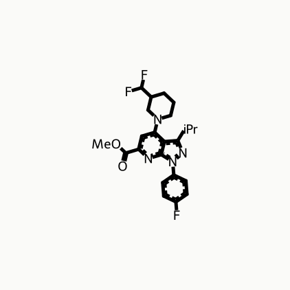 COC(=O)c1cc(N2CCCC(C(F)F)C2)c2c(C(C)C)nn(-c3ccc(F)cc3)c2n1